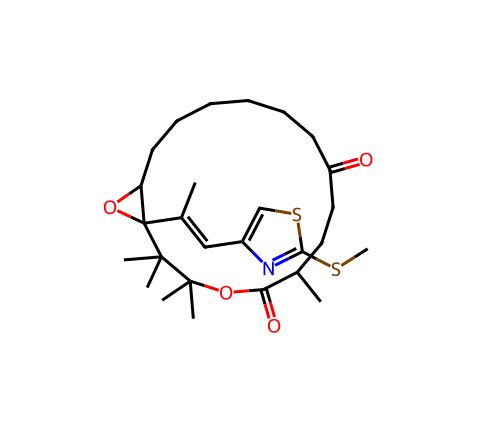 CSc1nc(C=C(C)C23OC2CCCCCCC(=O)CCC(C)C(=O)OC(C)(C)C3(C)C)cs1